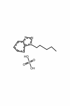 CCCCCn1nnc2ccccc21.O=S(=O)(O)O